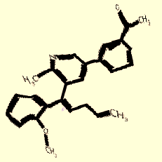 CCC/C=C(/c1ccccc1OC)c1cc(-c2cccc(C(C)=O)c2)cnc1C